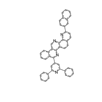 c1ccc(-c2cc(-c3nc4c(cnc5c4ccc4ccc(-c6ccc7ccccc7c6)nc45)c4ccccc34)cc(-c3ccccc3)n2)cc1